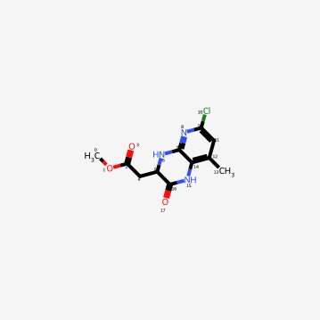 COC(=O)CC1Nc2nc(Cl)cc(C)c2NC1=O